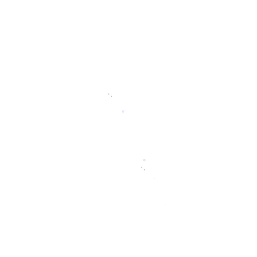 ClC1=C(/C=N/C2C=CC=CC2)CCC/C1=C\NC1=CCCC=C1